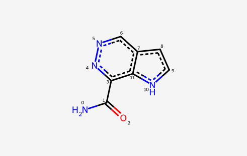 NC(=O)c1nncc2cc[nH]c12